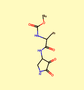 CC(C)C(NC(=O)OC(C)(C)C)C(=O)NC1CNC(=O)C1=O